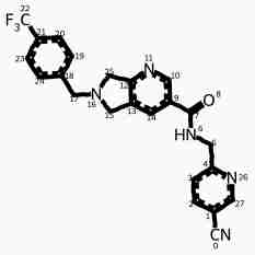 N#Cc1ccc(CNC(=O)c2cnc3c(c2)CN(Cc2ccc(C(F)(F)F)cc2)C3)nc1